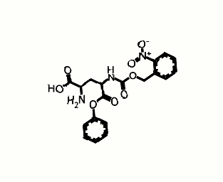 NC(CC(NC(=O)OCc1ccccc1[N+](=O)[O-])C(=O)Oc1ccccc1)C(=O)O